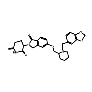 O=C1CCC(N2Cc3cc(OCC4CCCCN4Cc4ccc5c(c4)OCO5)ccc3C2=O)C(=O)N1